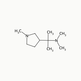 CN1CCC(C(C)(C)N(C)C)C1